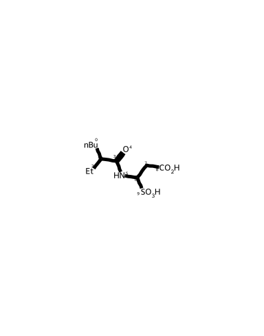 CCCCC(CC)C(=O)NC(CC(=O)O)S(=O)(=O)O